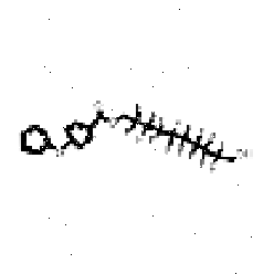 O=C(OCC(F)(F)C(F)(F)C(F)(F)C(F)(F)C(F)(F)C(F)(F)C(F)(F)C(F)(F)CO)c1ccc(Oc2ccccc2)cc1